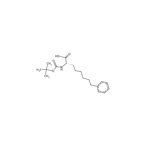 CC(C)(C)OC(=O)N[C@@H](CCCCCCc1ccccc1)C(=O)O